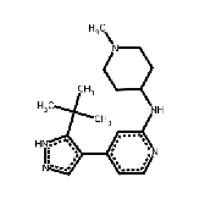 CN1CCC(Nc2cc(-c3cn[nH]c3C(C)(C)C)ccn2)CC1